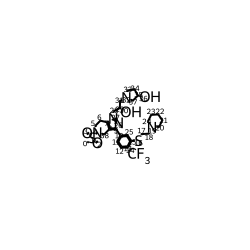 CS(=O)(=O)N1CCc2c(c(-c3ccc(C(F)(F)F)c(SCCN4CCCCC4)c3)nn2CC(O)CN2CCC(O)C2)C1